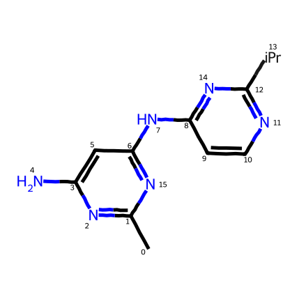 Cc1nc(N)cc(Nc2ccnc(C(C)C)n2)n1